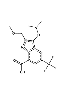 COCn1nc2c(C(=O)O)cc(C(F)(F)F)cc2c1OC(C)C